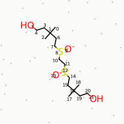 CC(C)(CCO)CC[S+]([O-])CC[S+]([O-])CCC(C)(C)CCO